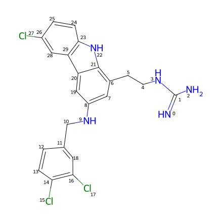 N=C(N)NCCc1cc(NCc2ccc(Cl)c(Cl)c2)cc2c1[nH]c1ccc(Cl)cc12